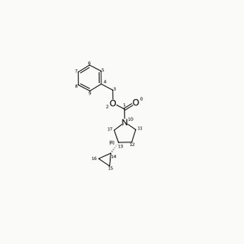 O=C(OCc1ccccc1)N1CC[C@H](C2CC2)C1